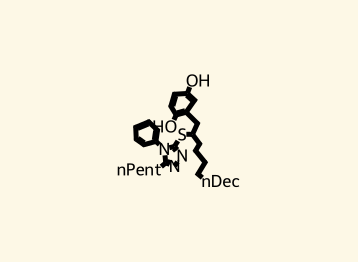 CCCCCCCCCCCCCCC(Cc1cc(O)ccc1O)Sc1nnc(CCCCC)n1-c1ccccc1